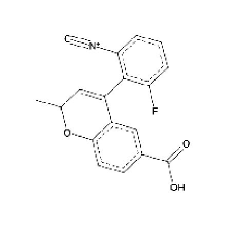 [C-]#[N+]c1cccc(F)c1C1=CC(C)Oc2ccc(C(=O)O)cc21